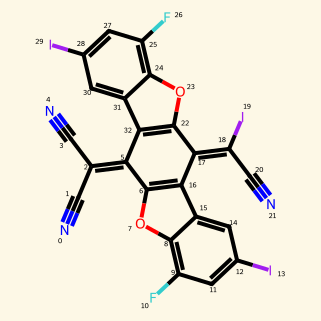 N#CC(C#N)=c1c2oc3c(F)cc(I)cc3c2/c(=C(/I)C#N)c2oc3c(F)cc(I)cc3c12